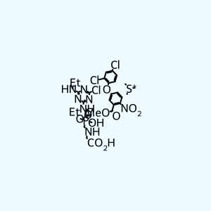 CCNc1nc(Cl)nc(NCC)n1.COC(=O)c1cc(Oc2ccc(Cl)cc2Cl)ccc1[N+](=O)[O-].C[S+](C)C.O=C(O)CNCP(=O)([O-])O